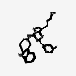 COCCCc1cnn2c(N[C@@H]3CCc4[nH]c5ccccc5c4C3)nc(-c3cncc(F)c3)nc12